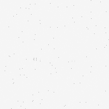 CC(C)(C)CC(C)(C)C(=O)N(O)C1CCC1